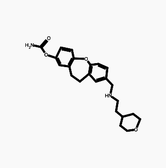 NC(=O)Oc1ccc2c(c1)CCc1cc(CNCCC3CCOCC3)ccc1O2